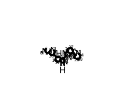 CN(C)Cc1cncc(-c2ccc3[nH]nc(-c4nc5c(-c6ccccn6)cccc5[nH]4)c3c2)c1